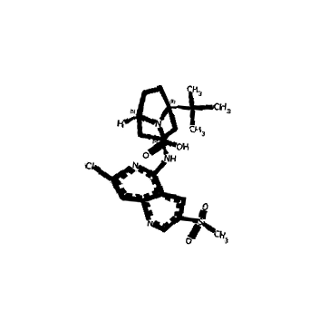 CC(C)(C)[C@@]12CC[C@@H](C[C@H](Nc3nc(Cl)cc4ncc(S(C)(=O)=O)cc34)C1)N2C(=O)O